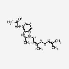 CC(=O)Nc1cccc2c1nc(C)n2CC=C(C)CCC=C(C)C